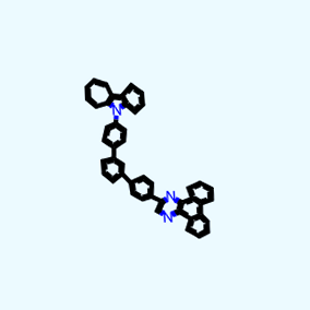 C1=CC=Cc2c(n(-c3ccc(-c4cccc(-c5ccc(-c6cnc7c8ccccc8c8ccccc8c7n6)cc5)c4)cc3)c3ccccc23)C=1